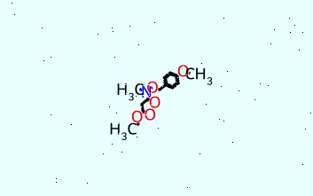 CCOC(=O)CC(=O)N(C)OCc1ccc(OC)cc1